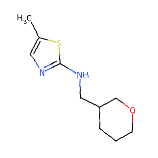 Cc1cnc(NCC2CCCOC2)s1